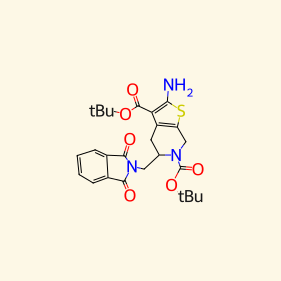 CC(C)(C)OC(=O)c1c(N)sc2c1CC(CN1C(=O)c3ccccc3C1=O)N(C(=O)OC(C)(C)C)C2